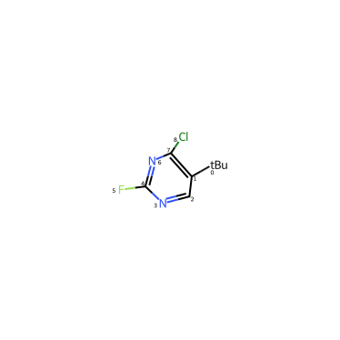 CC(C)(C)c1cnc(F)nc1Cl